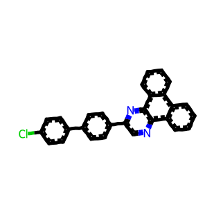 Clc1ccc(-c2ccc(-c3cnc4c5ccccc5c5ccccc5c4n3)cc2)cc1